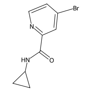 O=C(NC1CC1)c1cc(Br)ccn1